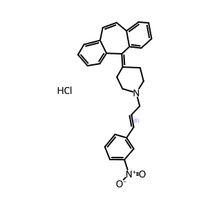 Cl.O=[N+]([O-])c1cccc(/C=C/CN2CCC(=C3c4ccccc4C=Cc4ccccc43)CC2)c1